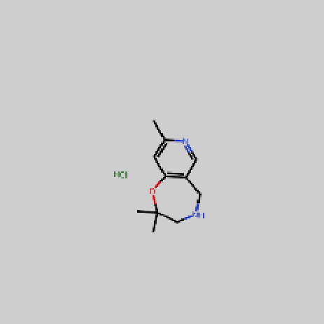 Cc1cc2c(cn1)CNCC(C)(C)O2.Cl